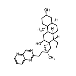 C[C@H](CCc1ncc2ncccc2n1)[C@H]1CC[C@H]2[C@@H]3CC[C@@H]4C[C@H](O)CC[C@]4(C)C3C[C@H](O)[C@]12C